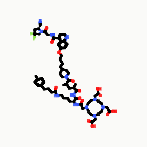 Cc1ccc(CCCC(=O)NCCCC[C@H](NC(=O)CN2CCN(CC(=O)O)CCN(CC(=O)O)CCN(CC(=O)O)CC2)C(=O)NC(=O)C(C)CC(C)C(=O)N2CCC(CCCCOc3ccc4nccc(C(=O)NCC(=O)N5CC(F)(F)C[C@@H]5C#N)c4c3)CC2)cc1